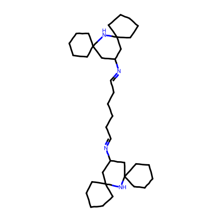 C(CCCCC=NC1CC2(CCCCC2)NC2(CCCCC2)C1)=NC1CC2(CCCCC2)NC2(CCCCC2)C1